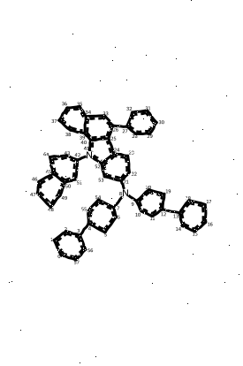 c1ccc(-c2ccc(N(c3ccc(-c4ccccc4)cc3)c3ccc4c5c(-c6ccccc6)cc6ccccc6c5n(-c5ccc6ccccc6c5)c4c3)cc2)cc1